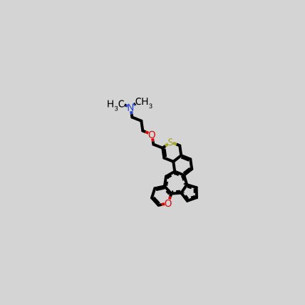 CN(C)CCCOCC1=CC2C(=CC=c3c4cccc-4c4c(cc32)=CC=CO4)CS1